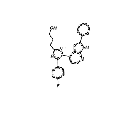 OCCCc1nc(-c2ccc(F)cc2)c(-c2ccnc3[nH]c(-c4ccccc4)cc23)[nH]1